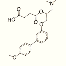 COc1ccc(-c2cccc(OCC(CN(C)C)OC(=O)CCC(=O)O)c2)cc1